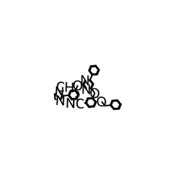 CN1CCN=C1c1cccc(Oc2nc(Oc3cc(C#N)ccc3OCc3ccccc3)cc(-c3ccccc3)n2)c1